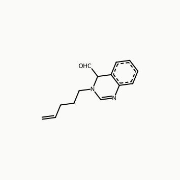 C=CCCCN1C=Nc2ccccc2C1C=O